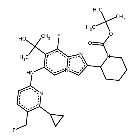 CC(C)(C)OC(=O)N1CCCCC1c1cn2cc(Nc3ccc(CF)c(C4CC4)n3)c(C(C)(C)O)c(F)c2n1